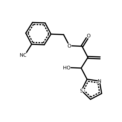 C=C(C(=O)OCc1cccc(C#N)c1)C(O)c1nccs1